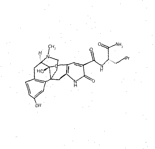 CC(C)C[C@H](NC(=O)c1cc2c([nH]c1=O)CC13CCN(C)[C@H](Cc4ccc(O)cc41)[C@]3(O)C2)C(N)=O